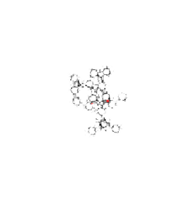 c1ccc(-c2ccc(-c3cc(-c4nc(-c5ccccc5)nc(-c5ccccc5)n4)cc(-c4ccc(-c5ccccc5)cc4)c3-n3c4ccccc4c4c(-n5c6cc(-n7c8ccccc8c8ccccc87)ccc6c6c(-n7c8ccccc8c8ccccc87)cccc65)cccc43)cc2)cc1